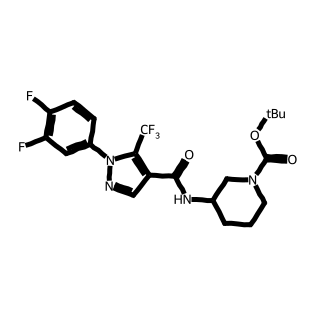 CC(C)(C)OC(=O)N1CCCC(NC(=O)c2cnn(-c3ccc(F)c(F)c3)c2C(F)(F)F)C1